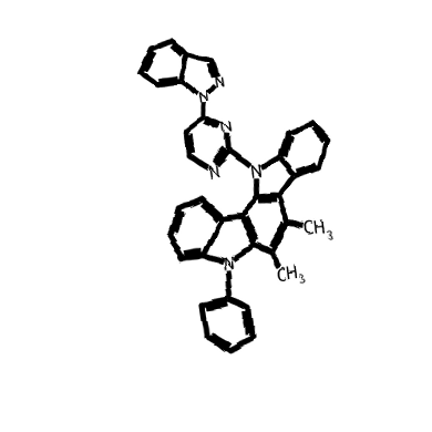 Cc1c(C)c2c(c3ccccc3n2-c2ccccc2)c2c1c1ccccc1n2-c1nccc(-n2ncc3ccccc32)n1